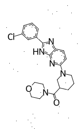 O=C(C1CCCN(c2ccc3nc(-c4cccc(Cl)c4)[nH]c3n2)C1)N1CCOCC1